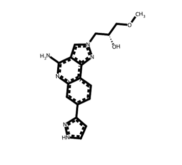 COC[C@H](O)Cn1cc2c(N)nc3cc(-c4cc[nH]n4)ccc3c2n1